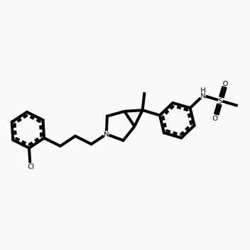 CC1(c2cccc(NS(C)(=O)=O)c2)C2CN(CCCc3ccccc3Cl)CC21